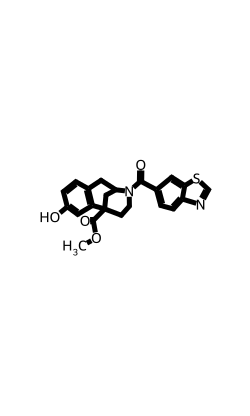 COC(=O)C12CCN(C(=O)c3ccc4ncsc4c3)C(Cc3ccc(O)cc31)C2